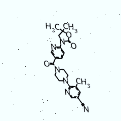 Cc1cc(C#N)cnc1N1CCN(C(=O)c2ccc(N3CC(C)(C)OC3=O)nc2)CC1